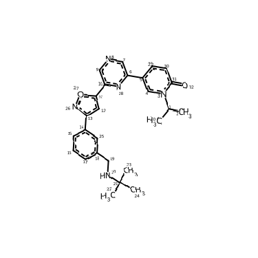 CC(C)n1cc(-c2cncc(-c3cc(-c4cccc(CNC(C)(C)C)c4)no3)n2)ccc1=O